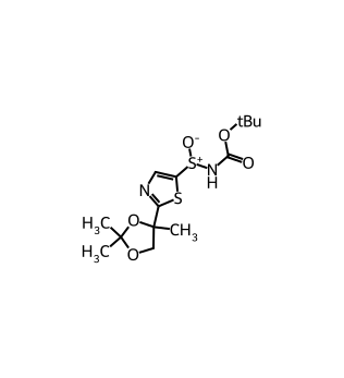 CC(C)(C)OC(=O)N[S+]([O-])c1cnc(C2(C)COC(C)(C)O2)s1